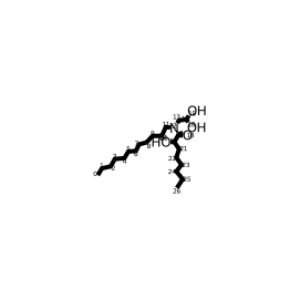 CCCCCCCCCCCCN(CC(O)O)C(=O)C(O)CCCCCC